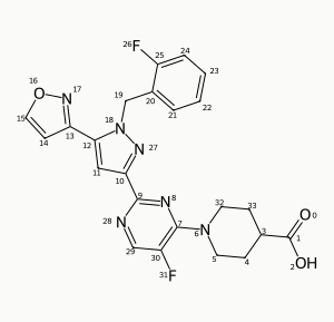 O=C(O)C1CCN(c2nc(-c3cc(-c4ccon4)n(Cc4ccccc4F)n3)ncc2F)CC1